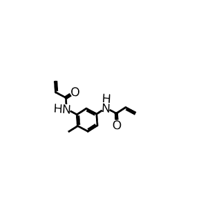 C=CC(=O)Nc1ccc(C)c(NC(=O)C=C)c1